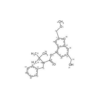 COCc1cc2c(OC(=O)N(Cc3ccccc3)C(C)(C)C)cc(CO)cc2o1